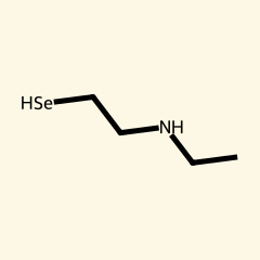 CCNCC[SeH]